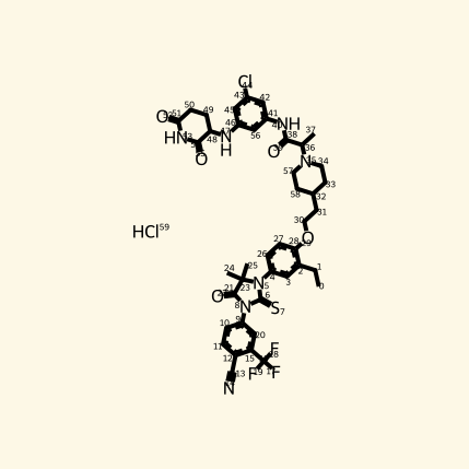 CCc1cc(N2C(=S)N(c3ccc(C#N)c(C(F)(F)F)c3)C(=O)C2(C)C)ccc1OCCC1CCN(C(C)C(=O)Nc2cc(Cl)cc(NC3CCC(=O)NC3=O)c2)CC1.Cl